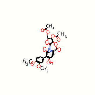 COc1ccc(-c2c(O)ccn(C3OC(COC(C)=O)C(OC(C)=O)C3OC(C)=O)c2=O)cc1OC